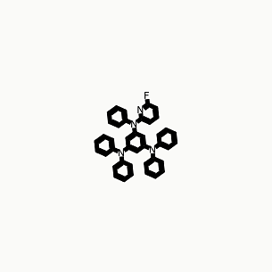 Fc1cccc(N(c2ccccc2)c2cc(N(c3ccccc3)c3ccccc3)cc(N(c3ccccc3)c3ccccc3)c2)n1